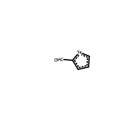 O=Cc1ccc[te]1